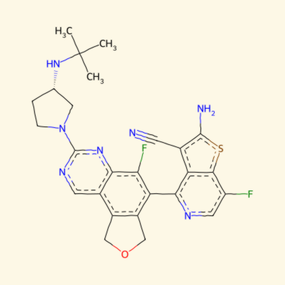 CC(C)(C)N[C@H]1CCN(c2ncc3c4c(c(-c5ncc(F)c6sc(N)c(C#N)c56)c(F)c3n2)COC4)C1